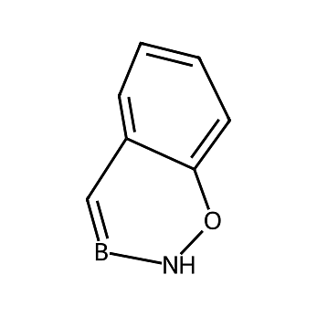 B1=Cc2ccccc2ON1